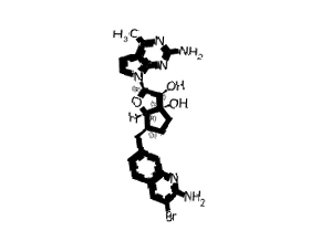 Cc1nc(N)nc2c1ccn2[C@@H]1O[C@@H]2[C@H](Cc3ccc4cc(Br)c(N)nc4c3)CC[C@]2(O)[C@H]1O